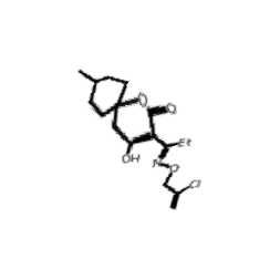 C=C(Cl)CO/N=C(\CC)C1=C(O)CC2(CCC(C)CC2)OC1=O